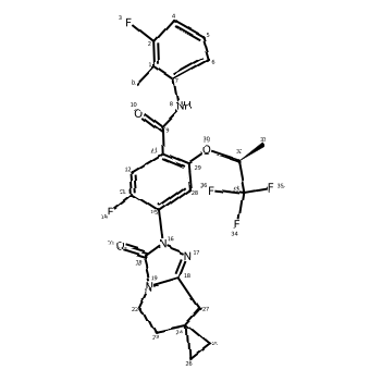 Cc1c(F)cccc1NC(=O)c1cc(F)c(-n2nc3n(c2=O)CCC2(CC2)C3)cc1O[C@@H](C)C(F)(F)F